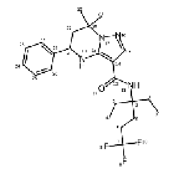 CCC(CC)(CCC(F)(F)F)NC(=O)c1cnn2c1NC(c1ccccc1)CC2(C)C